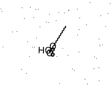 CCCCCCCCCCCCCCCCOc1ccc(-c2ccccc2)c(C(=O)O)c1